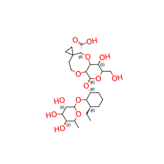 CC[C@@H]1CCC[C@@H](O[C@@H]2OC(CO)[C@H](O)C3O[C@@H](C(=O)O)C4(CCOC32)CC4)C1OC1OC(C)[C@@H](O)C(O)[C@@H]1O